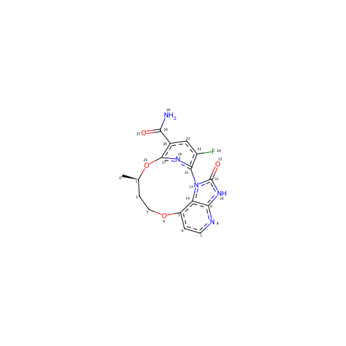 C[C@@H]1CCOc2ccnc3[nH]c(=O)n(c23)-c2nc(c(C(N)=O)cc2F)O1